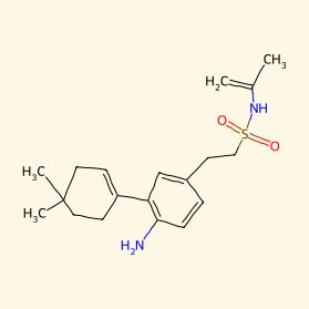 C=C(C)NS(=O)(=O)CCc1ccc(N)c(C2=CCC(C)(C)CC2)c1